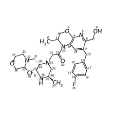 CC1COc2nc(CO)c(Cc3ccc(F)cc3)cc2N1C(=O)CN1C[C@@H](C)NC[C@@H]1CN1CCOCC1C(F)(F)F